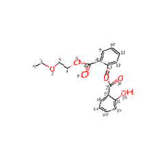 CCOCCOC(=O)c1ccccc1OC(=O)c1ccccc1O